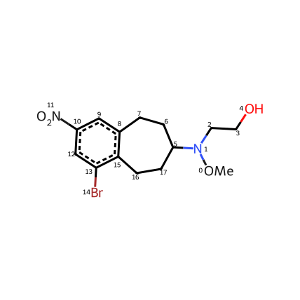 CON(CCO)C1CCc2cc([N+](=O)[O-])cc(Br)c2CC1